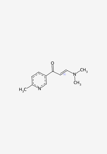 Cc1ccc(C(=O)/C=C/N(C)C)cn1